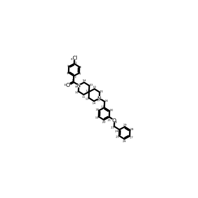 O=C(c1ccc(Cl)cc1)N1CCC2(CCN(Cc3cccc(OCc4ccccc4)c3)CC2)CC1